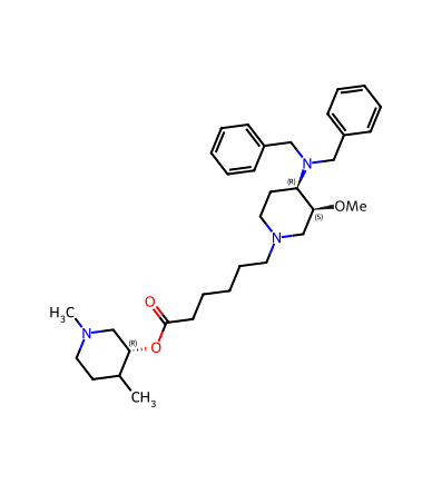 CO[C@H]1CN(CCCCCC(=O)O[C@H]2CN(C)CCC2C)CC[C@H]1N(Cc1ccccc1)Cc1ccccc1